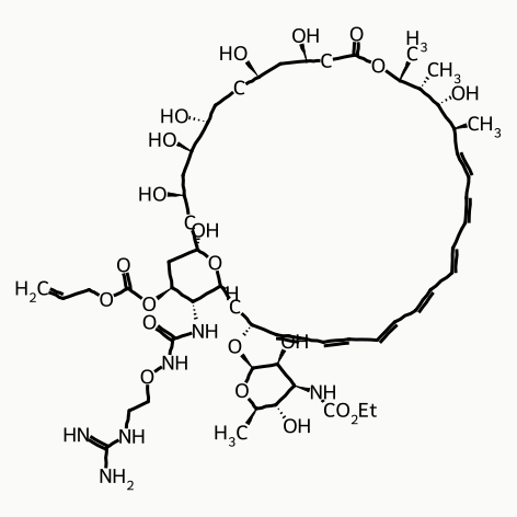 C=CCOC(=O)O[C@H]1C[C@@]2(O)C[C@@H](O)C[C@@H](O)[C@H](O)CC[C@@H](O)C[C@@H](O)CC(=O)O[C@@H](C)[C@H](C)[C@H](O)[C@@H](C)/C=C/C=C/C=C/C=C/C=C/C=C/C=C/[C@H](O[C@@H]3O[C@H](C)[C@@H](O)[C@H](NC(=O)OCC)[C@@H]3O)C[C@H](O2)[C@@H]1NC(=O)NOCCNC(=N)N